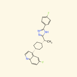 CC(c1nnc(-c2ccc(F)cc2)[nH]1)[C@H]1CC[C@@H](c2ccnc3ccc(F)cc32)CC1